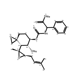 COC(=O)C(NC(=O)O[C@@H]1CC[C@]2(CO2)[C@@H]([C@@]2(C)O[C@@H]2CC=C(C)C)[C@H]1OC)c1ccccc1